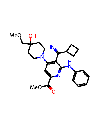 COCC1(O)CCN(c2cc(C(=O)OC)nc(Nc3ccccc3)c2C(=N)C2CCC2)CC1